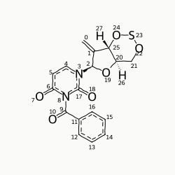 C=C1[C@H](n2ccc(=O)n(C(=O)c3ccccc3)c2=O)O[C@@H]2COSO[C@@H]12